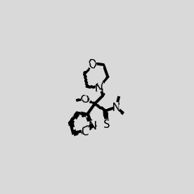 COC(CN1CCOCC1)(C(=S)N(C)C)c1ccccn1